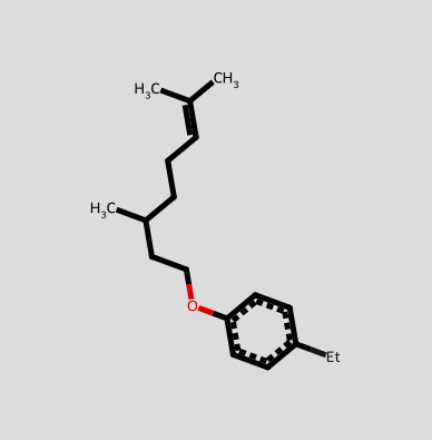 CCc1ccc(OCCC(C)CCC=C(C)C)cc1